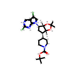 CC(C)(C)OC(=O)N1CCC([C@H]2C[C@@H](n3cc(Br)c4cnc(Cl)nc43)[C@@H]3OC(C)(C)O[C@@H]32)CC1